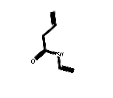 C=CC[C](=O)[Sn][CH]=C